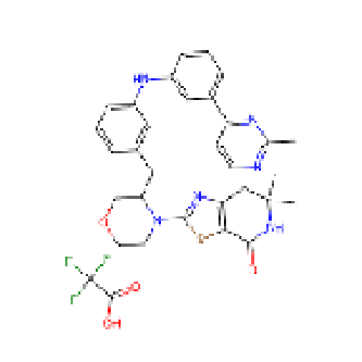 Cc1nccc(-c2cccc(Nc3cccc(CC4COCCN4c4nc5c(s4)C(=O)NC(C)(C)C5)c3)c2)n1.O=C(O)C(F)(F)F